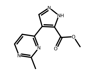 COC(=O)c1[nH]ncc1-c1ccnc(C)n1